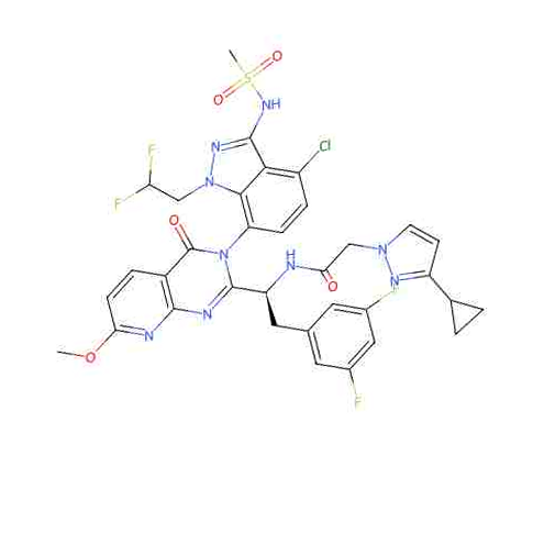 COc1ccc2c(=O)n(-c3ccc(Cl)c4c(NS(C)(=O)=O)nn(CC(F)F)c34)c([C@H](Cc3cc(F)cc(F)c3)NC(=O)Cn3ccc(C4CC4)n3)nc2n1